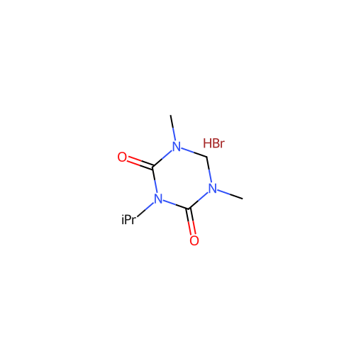 Br.CC(C)N1C(=O)N(C)CN(C)C1=O